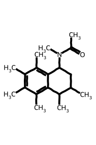 CC(=O)N(C)C1CC(C)C(C)c2c(C)c(C)c(C)c(C)c21